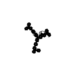 CC1(C)c2cc(N(c3ccc(-c4ccc(-c5ccc6c(c5)c5ccccc5n6-c5ccccc5)cc4)cc3)c3ccc(-c4ccc(-c5ccc6c7ccccc7n(-c7ccccc7)c6c5)cc4)cc3)ccc2-c2ccc(-n3c4ccccc4c4ccccc43)cc21